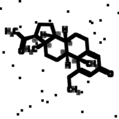 CCC1=CC(=O)C=C2CC[C@@H]3[C@H](CC[C@]4(C)[C@@H](C(C)=O)CC[C@@H]34)[C@@]12C